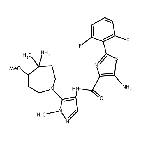 COC1CCN(c2c(NC(=O)c3nc(-c4c(F)cccc4F)sc3N)cnn2C)CCC1(C)N